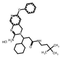 CC(C)(C)CCNC(=O)CC(C1CCCCC1)N1Cc2cc(Oc3ccccc3)ncc2N=C1N.Cl